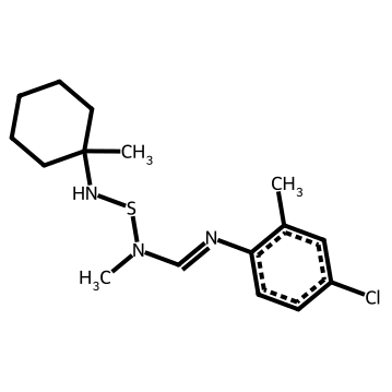 Cc1cc(Cl)ccc1/N=C/N(C)SNC1(C)CCCCC1